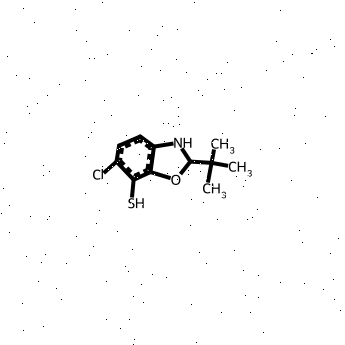 CC(C)(C)C1Nc2ccc(Cl)c(S)c2O1